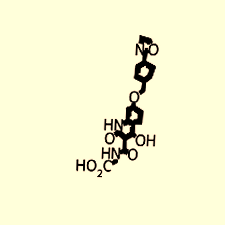 O=C(O)CNC(=O)c1c(O)c2ccc(OCc3ccc(-c4ncco4)cc3)cc2[nH]c1=O